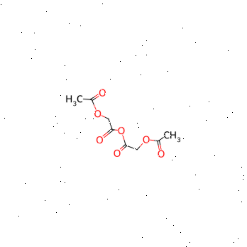 CC(=O)OCC(=O)OC(=O)COC(C)=O